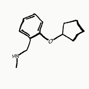 CNCc1ccccc1OC1CCCC1